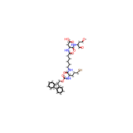 O=CCC(C=O)NC(=O)C(CC(=O)O)NC(=O)CCCCCNC(=O)C(CCCS)NC(=O)OCC1c2ccccc2-c2ccccc21